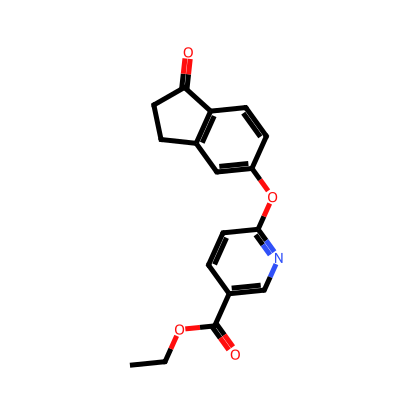 CCOC(=O)c1ccc(Oc2ccc3c(c2)CCC3=O)nc1